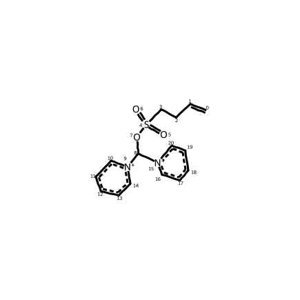 C=CCCS(=O)(=O)OC([n+]1ccccc1)[n+]1ccccc1